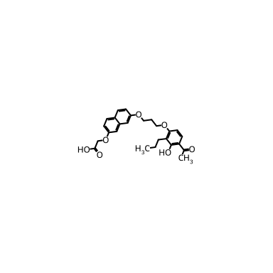 CCCc1c(OCCCOc2ccc3ccc(OCC(=O)O)cc3c2)ccc(C(C)=O)c1O